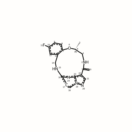 C=C1NC[C@@H](C)Oc2ccc(F)cc2CNc2ccn3ncc1c3n2